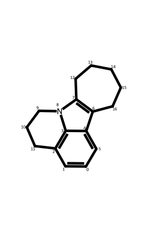 c1cc2c3c(c1)c1c(n3CCC2)CCCCC1